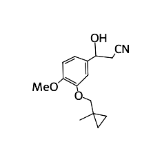 COc1ccc(C(O)CC#N)cc1OCC1(C)CC1